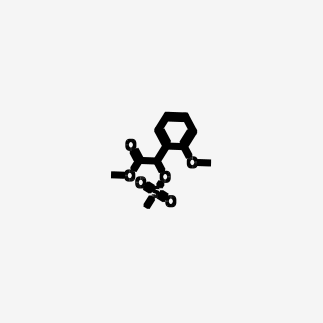 COC(=O)C(OS(C)(=O)=O)c1ccccc1OC